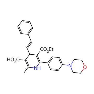 CCOC(=O)C1=C(c2ccc(N3CCOCC3)cc2)NC(C)=C(C(=O)O)C1/C=C/c1ccccc1